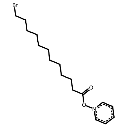 O=C(CCCCCCCCCCCBr)O[n+]1ccccc1